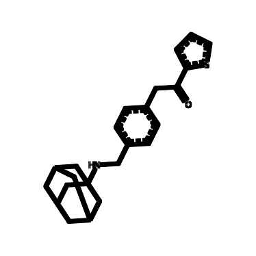 O=C(Cc1ccc(CNC23CC4CC(CC(C4)C2)C3)cc1)c1cccs1